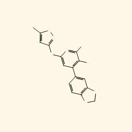 [C-]#[N+]c1c(-c2ccc3c(c2)OCO3)cc(Nc2cc(C)[nH]n2)nc1Cl